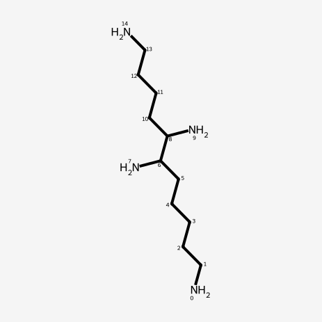 NCCCCCC(N)C(N)CCCCN